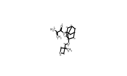 C=C(C)C(=O)OC12CC3CC(CC(OCC4(C)COC4)(C3)C1)C2